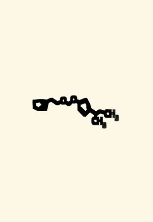 CCC(C)c1ccc(OCOCCC2CC3CCC2C3)cc1